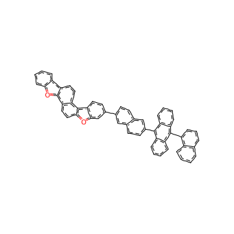 c1ccc2c(-c3c4ccccc4c(-c4ccc5cc(-c6ccc7c(c6)oc6ccc8c(ccc9c%10ccccc%10oc98)c67)ccc5c4)c4ccccc34)cccc2c1